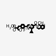 COC(=O)C1=Cc2ccc(-c3cn4cc(C(=O)N5CCc6ccccc6C5C)cc(C5CC5)c4n3)c(F)c2OC1